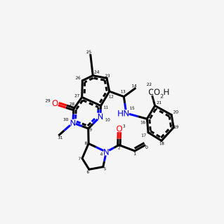 C=CC(=O)N1CCCC1c1nc2c(C(C)Nc3ccccc3C(=O)O)cc(C)cc2c(=O)n1C